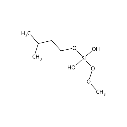 COO[Si](O)(O)OCCC(C)C